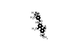 CCc1cc(NC(=O)c2ccc(S(N)(=O)=O)c(C)c2)ccc1-c1ccc(OC(C)=O)cc1C(F)(F)F